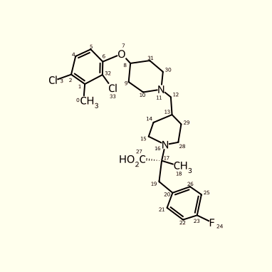 Cc1c(Cl)ccc(OC2CCN(CC3CCN([C@@](C)(Cc4ccc(F)cc4)C(=O)O)CC3)CC2)c1Cl